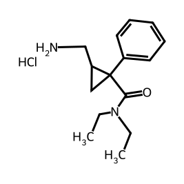 CCN(CC)C(=O)C1(c2ccccc2)CC1CN.Cl